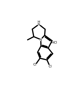 CC1CNCc2cc3cc(Cl)c(Cl)cc3n21.Cl